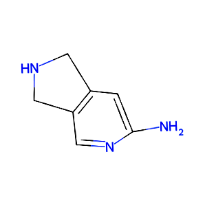 Nc1cc2c(cn1)CNC2